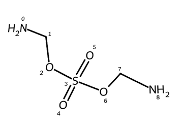 NCOS(=O)(=O)OCN